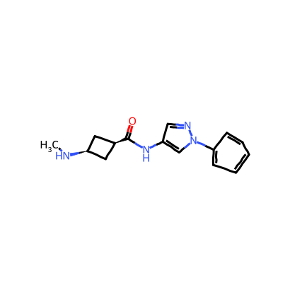 CN[C@H]1C[C@@H](C(=O)Nc2cnn(-c3ccccc3)c2)C1